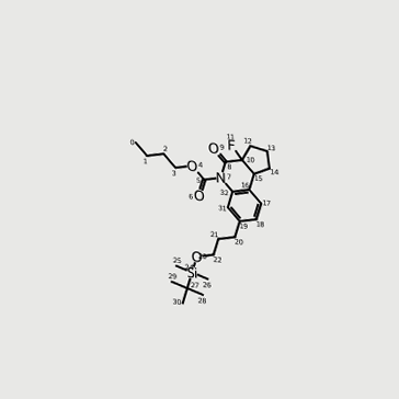 CCCCOC(=O)N1C(=O)C2(F)CCCC2c2ccc(CCCO[Si](C)(C)C(C)(C)C)cc21